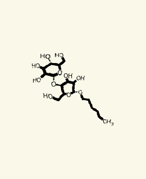 CCCCCCO[C@@H]1OC(CO)[C@@H](O[C@H]2OC(CO)[C@@H](O)C(O)C2O)C(O)C1O